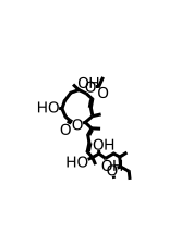 CCC(OC)C(C)CC(O)C(O)C(C)(O)/C=C/C=C(\C)C1OC(=O)CC(O)CCC(C)(O)C(OC(C)=O)/C=C/C1C